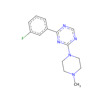 CN1CCN(c2ncnc(-c3cccc(F)c3)n2)CC1